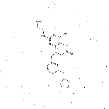 COCCNc1nc(N)c2c(n1)N(Cc1cccc(CN3CCCC3)c1)CC(=O)N2